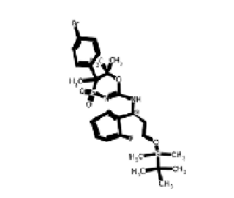 CC1(C)OC(N[C@@H](CCO[Si](C)(C)C(C)(C)C)c2ccccc2F)=NS(=O)(=O)C1(C)c1ccc(Br)cc1